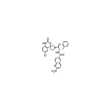 Nc1ccc2cc(C(=O)N[C@@H](Cc3ccccc3)C(=O)N3CCC4(C3)OC(=O)Nc3ccc(Cl)cc34)ccc2n1